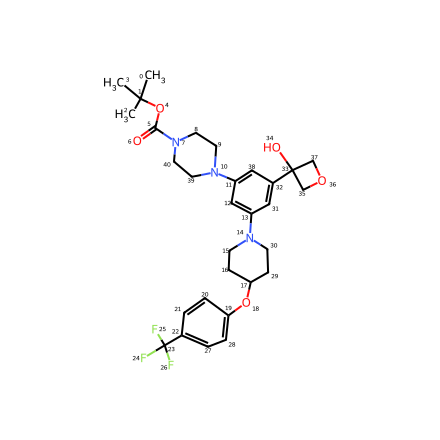 CC(C)(C)OC(=O)N1CCN(c2cc(N3CCC(Oc4ccc(C(F)(F)F)cc4)CC3)cc(C3(O)COC3)c2)CC1